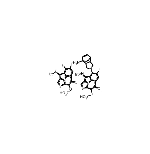 CCN=c1c2c(F)c(F)cc3c(=O)c(OC(=O)O)c4scc1n4c32.CCN=c1c2c(N3CC4C5C=CC(N)(CC5)C4C3)c(F)cc3c(=O)c(OC(=O)O)c4scc1n4c32